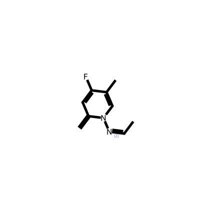 C=C1C=C(F)C(C)=CN1/N=C\C